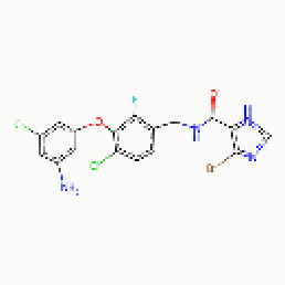 Nc1cc(Cl)cc(Oc2c(Cl)ccc(CNC(=O)c3[nH]cnc3Br)c2F)c1